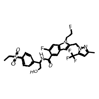 CCS(=O)(=O)c1ccc(C(CO)NC(=O)c2cc3cc(Cn4nc(C)cc4C(F)(F)F)n(CCF)c3cc2F)cc1